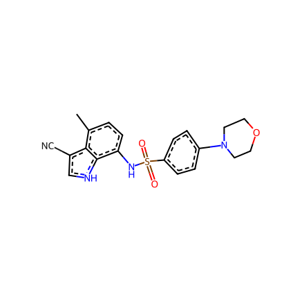 Cc1ccc(NS(=O)(=O)c2ccc(N3CCOCC3)cc2)c2[nH]cc(C#N)c12